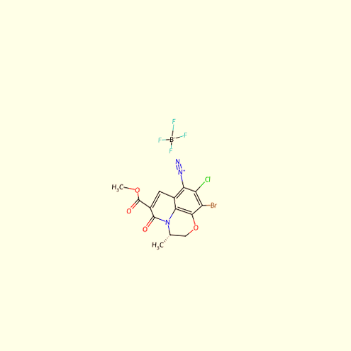 COC(=O)c1cc2c([N+]#N)c(Cl)c(Br)c3c2n(c1=O)[C@@H](C)CO3.F[B-](F)(F)F